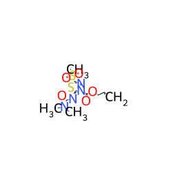 C=CCOC(=O)n1nc(S(C)(=O)=O)sc1=NC(=O)N(C)C